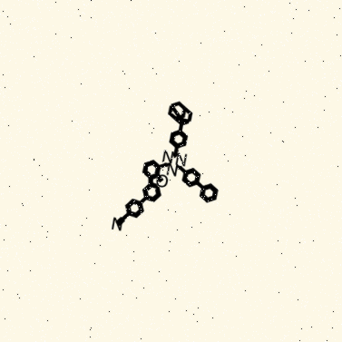 N#Cc1ccc(-c2ccc3oc4c(-c5nc(-c6ccc(-c7ccccc7)cc6)nc(-c6ccc(C7C8CC9CC(C8)CC7C9)cc6)n5)cccc4c3c2)cc1